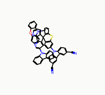 N#Cc1ccc2c(c1)c1cc(C#N)ccc1n2-c1ccc2c(c1)Sc1cccc(N3c4ccccc4Oc4ccccc43)c1C21c2cccnc2-c2ncc(-n3c4ccccc4c4ccccc43)cc21